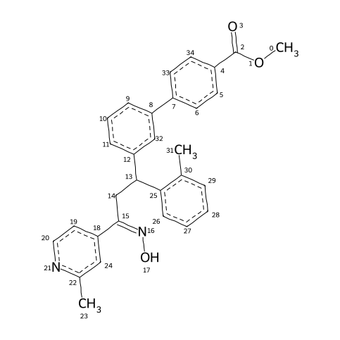 COC(=O)c1ccc(-c2cccc(C(CC(=NO)c3ccnc(C)c3)c3ccccc3C)c2)cc1